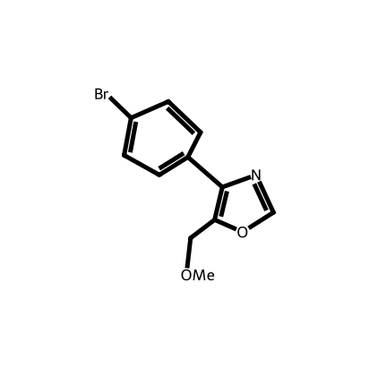 COCc1ocnc1-c1ccc(Br)cc1